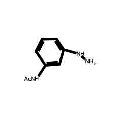 CC(=O)Nc1cccc(NN)c1